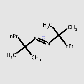 CCCC(C)(C)/N=N/C(C)(C)CCC